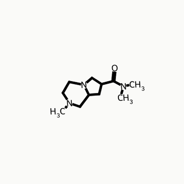 CN1CCN2CC(C(=O)N(C)C)CC2C1